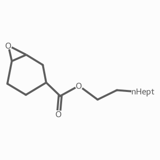 CCCCCCCCCOC(=O)C1CCC2OC2C1